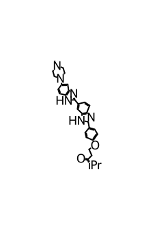 CC(C)C(=O)CCOc1ccc(-c2nc3ccc(-c4nc5cc(N6CCN(C)CC6)ccc5[nH]4)cc3[nH]2)cc1